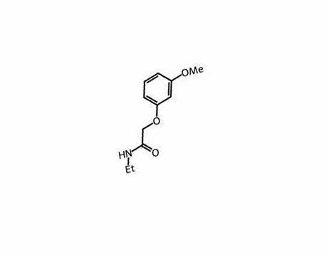 CCNC(=O)COc1cccc(OC)c1